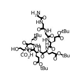 CC(C)(C)OC[C@H](NC(=O)[C@H](CCC(=O)OC(C)(C)C)NC(=O)[C@H](CCC(=O)OC(C)(C)C)NC(=O)[C@H](CCC(=O)OC(C)(C)C)NC(=O)CNC(=O)CNC(=O)CN)C(=O)N[C@@H](CO)C(=O)O